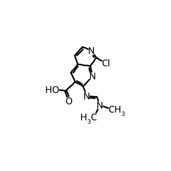 CN(C)C=Nc1nc2c(Cl)nccc2cc1C(=O)O